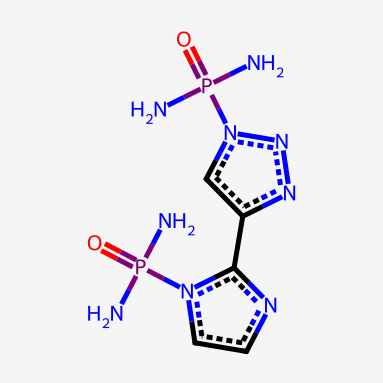 NP(N)(=O)n1cc(-c2nccn2P(N)(N)=O)nn1